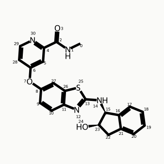 CNC(=O)c1cc(Oc2ccc3nc(N[C@H]4c5ccccc5C[C@H]4O)sc3c2)ccn1